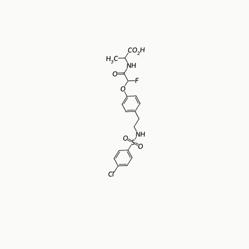 CC(NC(=O)C(F)Oc1ccc(CCNS(=O)(=O)c2ccc(Cl)cc2)cc1)C(=O)O